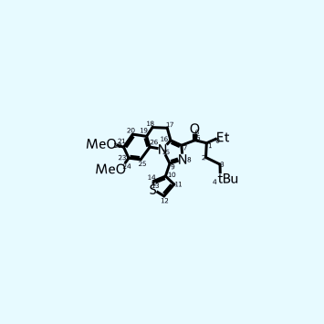 CCC(CCC(C)(C)C)C(=O)c1nc(-c2ccsc2)n2c1CCc1cc(OC)c(OC)cc1-2